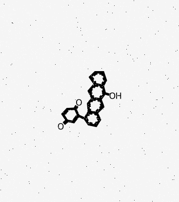 O=C1C=CC(=O)C(c2cccc3cc4c(O)c5ccccc5cc4cc23)=C1